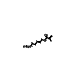 C=C(C)C(=O)OCC=CCCCCCCCCC